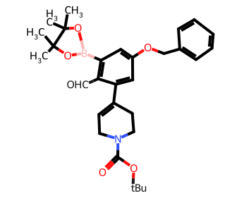 CC(C)(C)OC(=O)N1CC=C(c2cc(OCc3ccccc3)cc(B3OC(C)(C)C(C)(C)O3)c2C=O)CC1